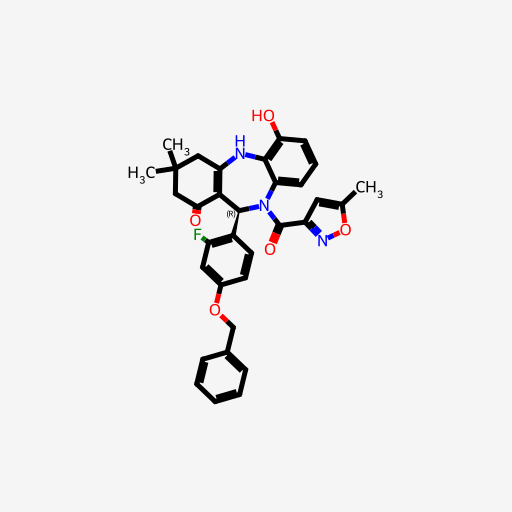 Cc1cc(C(=O)N2c3cccc(O)c3NC3=C(C(=O)CC(C)(C)C3)[C@@H]2c2ccc(OCc3ccccc3)cc2F)no1